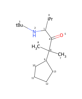 CC(C)C(NC(C)(C)C)C(=O)C(C)(C)C1CCCC1